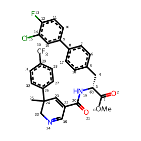 COC(=O)[C@@H](Cc1ccc(-c2ccc(F)c(Cl)c2)cc1)NC(=O)C1=CC(C)(c2ccc(C(F)(F)F)cc2)CN=C1